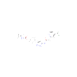 CC1(NC(=O)O[C@@H]2CC[C@H](c3cc(NC(=O)Cc4cc(C(F)F)ccn4)n[nH]3)C2)CC1